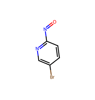 O=Nc1ccc(Br)cn1